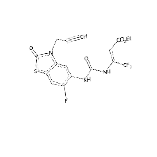 C#CCn1c(=O)sc2cc(F)c(NC(=O)NC(=CC(=O)OCC)C(F)(F)F)cc21